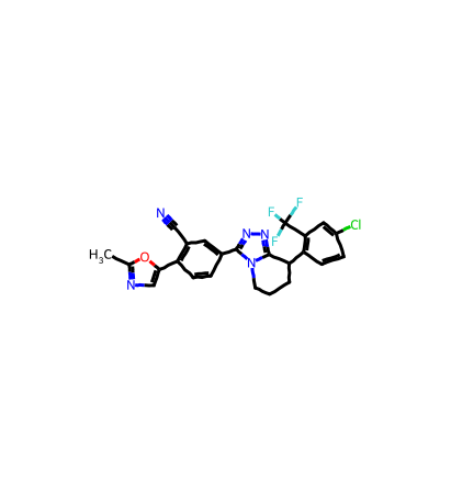 Cc1ncc(-c2ccc(-c3nnc4n3CCCC4c3ccc(Cl)cc3C(F)(F)F)cc2C#N)o1